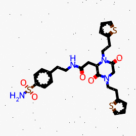 NS(=O)(=O)c1ccc(CCNC(=O)CC2C(=O)N(CCc3cccs3)CC(=O)N2CCc2cccs2)cc1